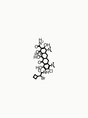 CN(C)c1c(Cl)c(NC(=O)C(Br)C2CCC2)c(O)c2c1CC1CC3[C@H](N(C)C)C(O)=C(C(N)=O)C(=O)[C@@]3(O)C(O)=C1C2=O